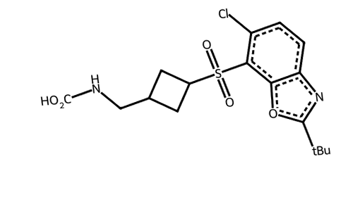 CC(C)(C)c1nc2ccc(Cl)c(S(=O)(=O)C3CC(CNC(=O)O)C3)c2o1